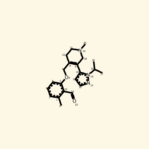 Cc1cccc(OCC2=C(c3ccnn3C(C)C)CN(C)CC2)c1C=O